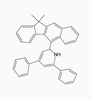 CC1(C)c2ccccc2-c2c1cc1ccccc1c2C1C=C(c2ccccc2)C=C(c2ccccc2)N1